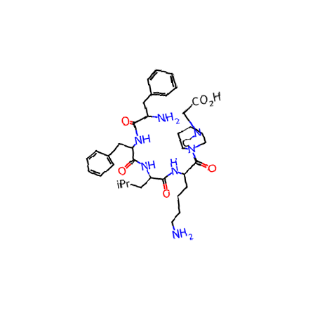 CC(C)CC(NC(=O)C(Cc1ccccc1)NC(=O)C(N)Cc1ccccc1)C(=O)NC(CCCCN)C(=O)N1CC2CCC1CN2CC(=O)O